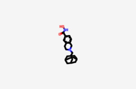 O=C(NO)c1ccc2c(c1)CCN(CC13CC4CC(CC(C4)C1)C3)C2